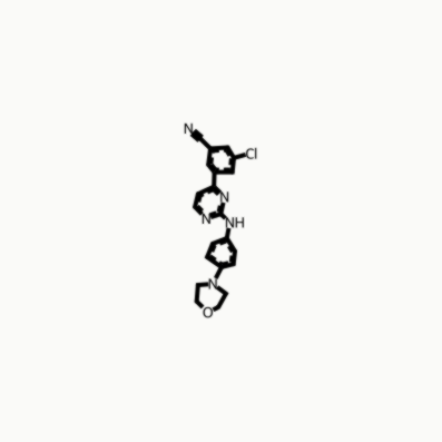 N#Cc1cc(Cl)cc(-c2ccnc(Nc3ccc(N4CCOCC4)cc3)n2)c1